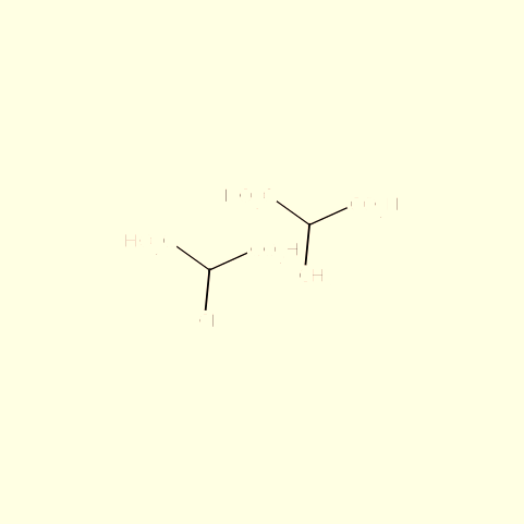 CC(C(=O)O)C(=O)O.CC(C(=O)O)C(=O)O